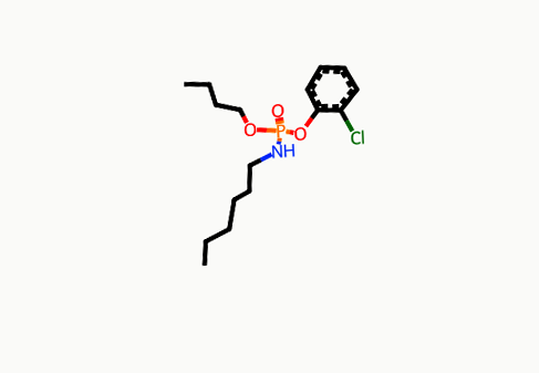 CCCCCCNP(=O)(OCCCC)Oc1ccccc1Cl